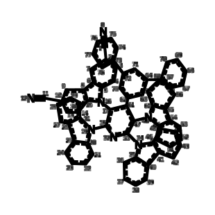 N#Cc1ccc2c(c1)c1cc(C#N)ccc1n2-c1c(-n2c3ccccc3c3ccccc32)nc(-n2c3ccccc3c3ccccc32)c(-n2c3ccccc3c3ccccc32)c1-c1cc(-c2ccccc2)cc(-c2ccccc2)c1